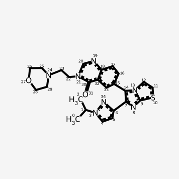 CC(C)n1ccc(-c2nc3sccn3c2-c2ccc3ncn(CCN4CCOCC4)c(=O)c3c2)n1